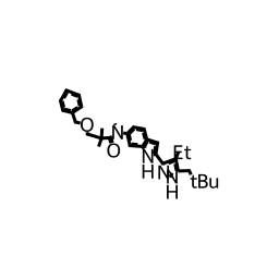 CCc1c(-c2cc3ccc(N(C)C(=O)C(C)(C)COCc4ccccc4)cc3[nH]2)n[nH]c1CC(C)(C)C